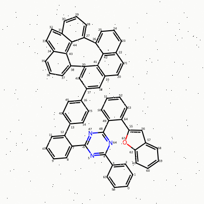 c1ccc(-c2nc(-c3ccccc3-c3ccc(-c4cc5ccc6cccc7c8cccc9ccc%10cccc(c(c4)c5c67)c%10c98)cc3)nc(-c3ccccc3-c3cc4ccccc4o3)n2)cc1